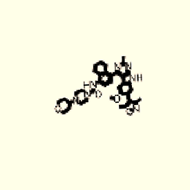 COc1cc2c(cc1-c1c(C)noc1C)[nH]c1nc(C)nc(-c3ccc(NC(=O)N4CCN(C5CCOCC5)CC4)c4ccccc34)c12